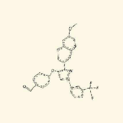 COc1ccc2cc(-c3nn(-c4cccc(C(F)(F)F)c4)cc3Oc3ccc(C=O)cc3)ccc2c1